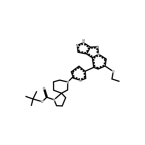 CCOc1cc(-c2ccc(N3CCCC4(CCCN4C(=O)OC(C)(C)C)C3)nc2)c2c3cn[nH]c3nn2c1